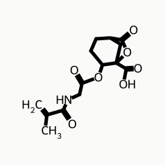 C=C(C)C(=O)NCC(=O)OC1CCC2CC1(C(=O)O)OC2=O